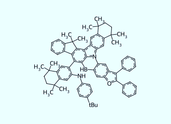 CC(C)(C)c1ccc(Nc2cc3c(cc2-c2c4c(c5c6cc7c(cc6n6c5c2Bc2cc5oc(-c8ccccc8)c(-c8ccccc8)c5cc2-6)C(C)(C)CCC7(C)C)C(C)(C)c2ccccc2-4)C(C)(C)CCC3(C)C)cc1